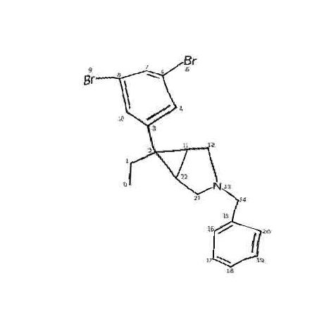 CCC1(c2cc(Br)cc(Br)c2)C2CN(Cc3ccccc3)CC21